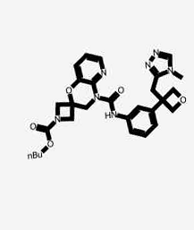 CCCCOC(=O)N1CC2(C1)CN(C(=O)Nc1cccc(C3(Cc4nncn4C)COC3)c1)c1ncccc1O2